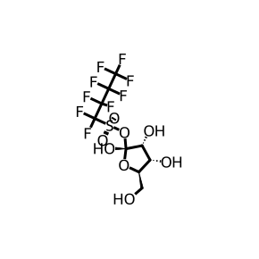 O=S(=O)(O[C@@]1(O)O[C@H](CO)[C@@H](O)[C@H]1O)C(F)(F)C(F)(F)C(F)(F)C(F)(F)F